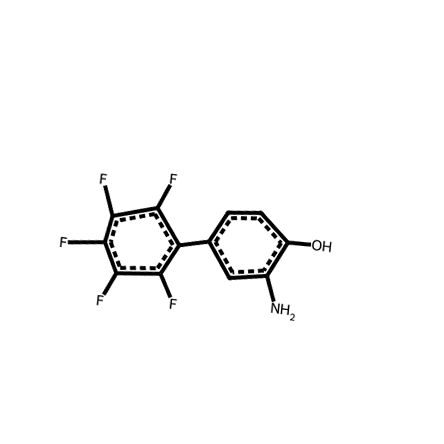 Nc1cc(-c2c(F)c(F)c(F)c(F)c2F)ccc1O